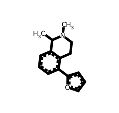 CC1c2cccc(-c3ccco3)c2CCN1C